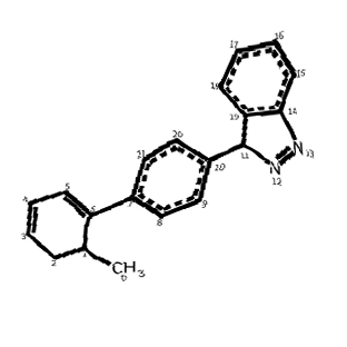 CC1CC=CC=C1c1ccc(C2N=Nc3ccccc32)cc1